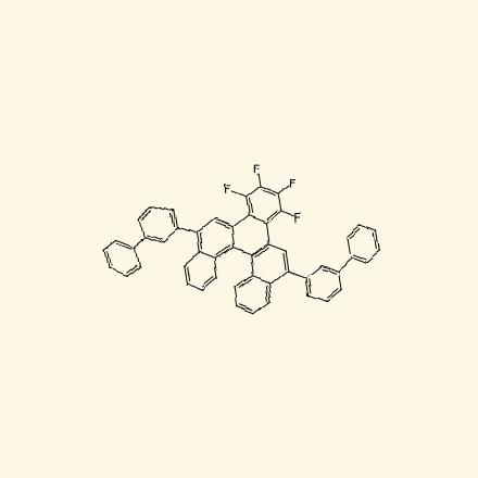 Fc1c(F)c(F)c2c3cc(-c4cccc(-c5ccccc5)c4)c4ccccc4c3c3c4ccccc4c(-c4cccc(-c5ccccc5)c4)cc3c2c1F